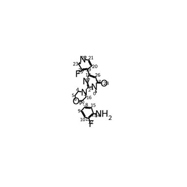 Cn1c(N2CCO[C@@H](c3ccc(F)c(N)c3)C2)nc(-c2ccncc2F)cc1=O